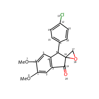 COc1cc2c(cc1OC)C(c1ccc(Cl)cc1)C1(CO1)C2=O